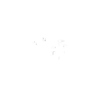 Cn1ccnc1CCc1ccccc1.O=S(=O)(O)C(F)(F)F